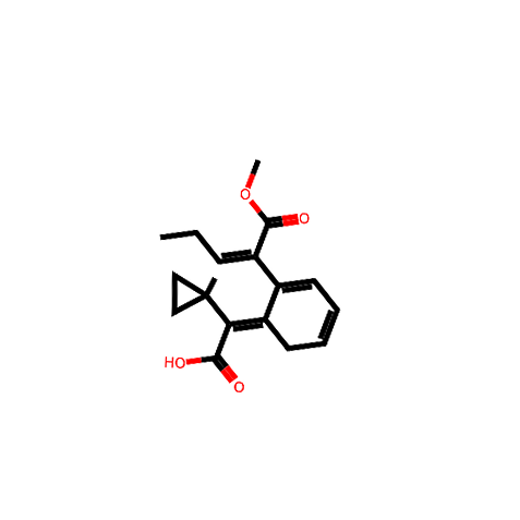 CCC=C(C(=O)OC)C1=CC=CCC1=C(C(=O)O)C1(C)CC1